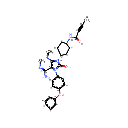 C=Nc1c(/C(N)=N\C)n(-c2ccc(Oc3ccccc3)cc2)c(=O)n1[C@H]1CC[C@H](NC(=O)C#CC)CC1